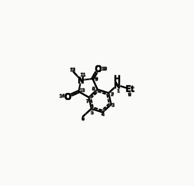 CCNc1ccc(C)c2c1C(=O)N(C)C2=O